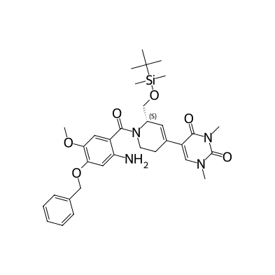 COc1cc(C(=O)N2CCC(c3cn(C)c(=O)n(C)c3=O)=C[C@H]2CO[Si](C)(C)C(C)(C)C)c(N)cc1OCc1ccccc1